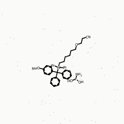 COc1ccc(C(c2ccccc2)(c2ccccc2)[N+](CCCCCCOCCC#N)(C(C)C)C(C)C)cc1.NP(O)O